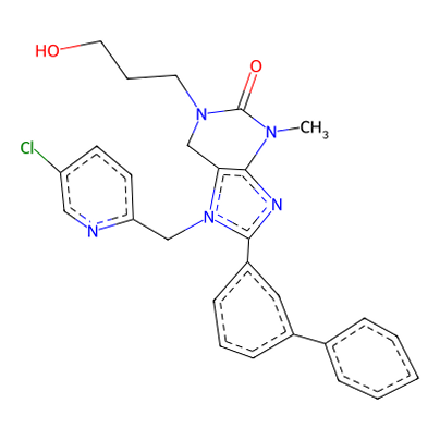 CN1C(=O)N(CCCO)Cc2c1nc(-c1cccc(-c3ccccc3)c1)n2Cc1ccc(Cl)cn1